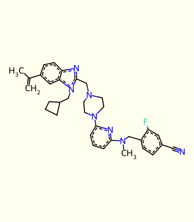 C=C(C)c1ccc2nc(CN3CCN(c4cccc(N(C)Cc5ccc(C#N)cc5F)n4)CC3)n(CC3CCC3)c2c1